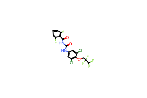 O=C(NC(=O)c1c(F)cccc1F)Nc1cc(Cl)c(OCC(F)(F)C(F)F)c(Cl)c1